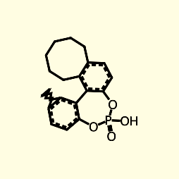 O=P1(O)Oc2ccc3c(c2-c2c(ccc4c2CCCCCC4)O1)CCCCCCCC3